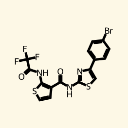 O=C(Nc1nc(-c2ccc(Br)cc2)cs1)c1ccsc1NC(=O)C(F)(F)F